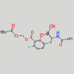 CCCC(=O)NC1Cc2ccc(F)c(C(=O)OCOC(=O)C(C)(C)C)c2OB1O